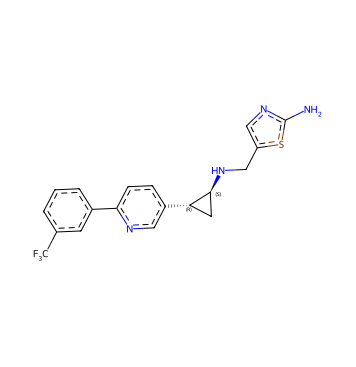 Nc1ncc(CN[C@H]2C[C@@H]2c2ccc(-c3cccc(C(F)(F)F)c3)nc2)s1